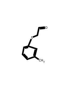 Cc1cccc(SCC=O)c1